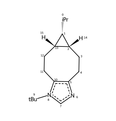 CC(C)[C@@H]1[C@@H]2CCc3ncn(C(C)(C)C)c3CC[C@@H]21